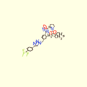 CC(C)(C)OC(=O)N1CCC[C@H]1c1nc(-c2ccc(Cn3cc(-c4ccc(C(F)(F)F)cc4)nn3)cc2)no1